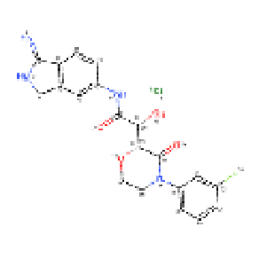 Cl.N=C1NCc2cc(NC(=O)[C@H](O)[C@H]3OCCN(c4cccc(F)c4)C3=O)ccc21